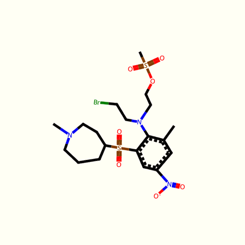 Cc1cc([N+](=O)[O-])cc(S(=O)(=O)C2CCCN(C)CC2)c1N(CCBr)CCOS(C)(=O)=O